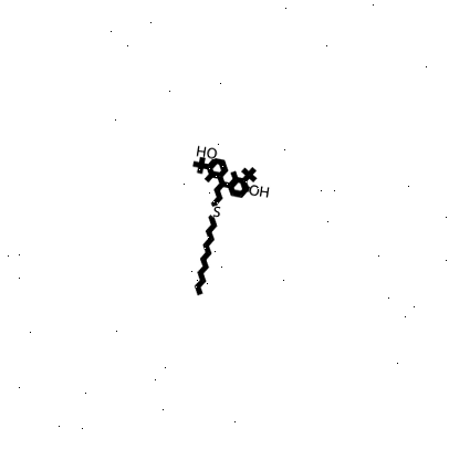 CCCCCCCCCCCCSCCCC(c1ccc(O)c(C(C)(C)C)c1C)c1ccc(O)c(C(C)(C)C)c1C